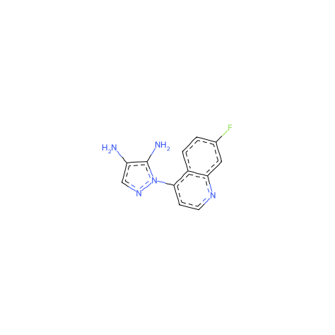 Nc1cnn(-c2ccnc3cc(F)ccc23)c1N